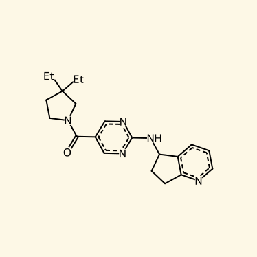 CCC1(CC)CCN(C(=O)c2cnc(NC3CCc4ncccc43)nc2)C1